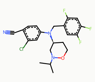 CC(C)N1C[C@@H](N(Cc2cc(F)c(F)cc2F)c2ccc(C#N)c(Cl)c2)CCO1